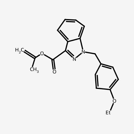 C=C(C)OC(=O)c1nn(Cc2ccc(OCC)cc2)c2ccccc12